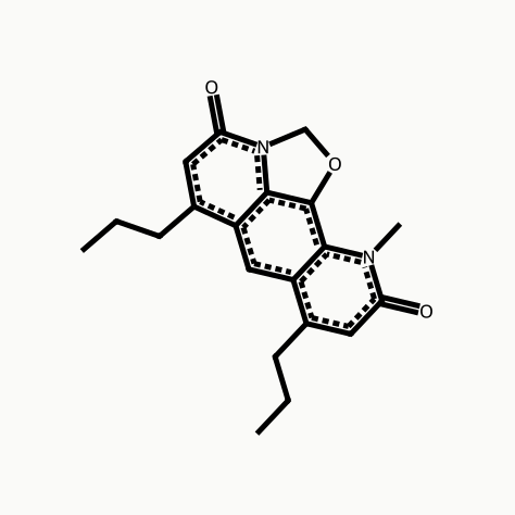 CCCc1cc(=O)n(C)c2c3c4c(cc12)c(CCC)cc(=O)n4CO3